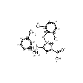 Cc1cc(C(=O)O)nn1Cc1c(Cl)cccc1Cl.Cc1cccc(N)c1